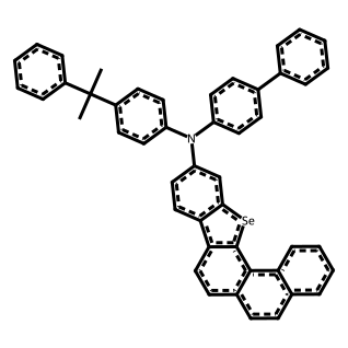 CC(C)(c1ccccc1)c1ccc(N(c2ccc(-c3ccccc3)cc2)c2ccc3c(c2)[se]c2c3ccc3ccc4ccccc4c32)cc1